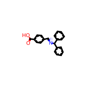 O=C(O)c1ccc(/C=N/C(c2ccccc2)c2ccccc2)cc1